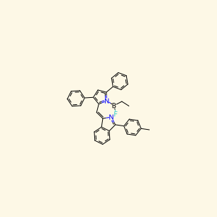 CCB(F)n1c(-c2ccccc2)cc(-c2ccccc2)c1/C=C1\N=C(c2ccc(C)cc2)c2ccccc21